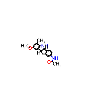 COc1cc(C)c2c(c1)[C@H]1Cc3cc(NC(C)=O)ccc3[C@H]1N2